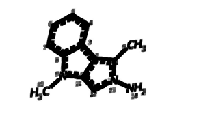 Cc1c2c3ccccc3n(C)c2cn1N